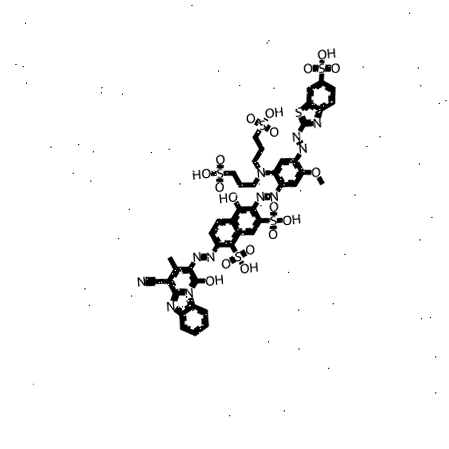 COc1cc(N=Nc2c(S(=O)(=O)O)cc3c(S(=O)(=O)O)c(N=Nc4c(C)c(C#N)c5nc6ccccc6n5c4O)ccc3c2O)c(N(CCCS(=O)(=O)O)CCCS(=O)(=O)O)cc1N=Nc1nc2ccc(S(=O)(=O)O)cc2s1